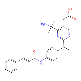 CC(c1ccc(NC(=O)/C=C/c2ccccc2)cc1)c1ncc(CC(=O)O)c(C(C)(C)N)n1